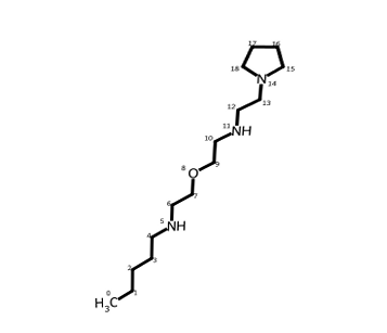 CCCCCNCCOCCNCCN1CCCC1